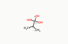 C[CH](C)[Sn]([OH])([OH])[OH]